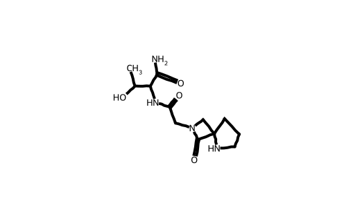 CC(O)C(NC(=O)CN1CC2(CCCN2)C1=O)C(N)=O